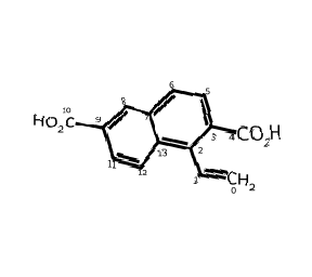 C=Cc1c(C(=O)O)ccc2cc(C(=O)O)ccc12